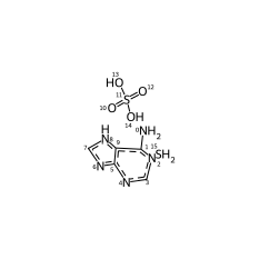 Nc1ncnc2nc[nH]c12.O=S(=O)(O)O.S